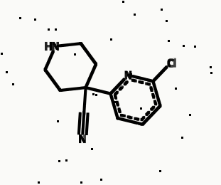 N#CC1(c2cccc(Cl)n2)CCNCC1